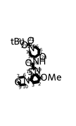 COc1ccc(N2CCOCC2)c2sc(C(=O)NC3CCN(C(=O)OC(C)(C)C)CCC3=O)nc12